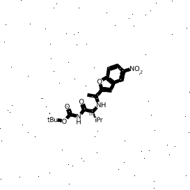 CC(N[C@H](C(=O)NC(=O)OC(C)(C)C)C(C)C)c1cc2cc([N+](=O)[O-])ccc2o1